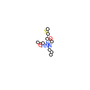 c1ccc2c(c1)ccc1cc(C3=NC(c4cccc5oc6c(-c7ccc8c(c7)sc7ccccc78)cccc6c45)=NC(c4ccc5c(c4)oc4ccccc45)N3)ccc12